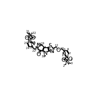 CN(C)S(=O)(=O)n1ccc(COCc2nc3c(s2)c2cnn(Cc4ccn(S(=O)(=O)N(C)C)n4)c(=O)c2n3C)n1